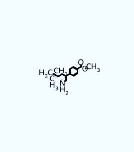 COC(=O)c1ccc(C(CN)CCC(C)(C)C)cc1